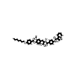 CCCCCCCOc1ccc(C(=O)Oc2ccc(CC(NC(=O)c3ccc(NC(=O)c4cnn5ccccc45)cc3)C(=O)O)cc2OC)cc1